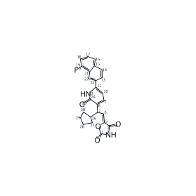 O=C1NC(=O)/C(=C/C(c2ccc(-c3ccc4cccc(F)c4c3)[nH]c2=O)C2CCCC2)O1